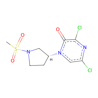 CS(=O)(=O)N1CC[C@@H](n2cc(Cl)nc(Cl)c2=O)C1